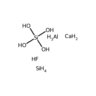 F.O[Si](O)(O)O.[AlH3].[CaH2].[SiH4]